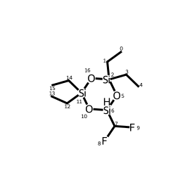 CC[Si]1(CC)O[SiH](C(F)F)O[Si](CC)(CC)O1